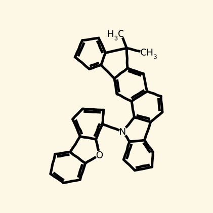 CC1(C)c2ccccc2-c2cc3c(ccc4c5ccccc5n(-c5cccc6c5oc5ccccc56)c34)cc21